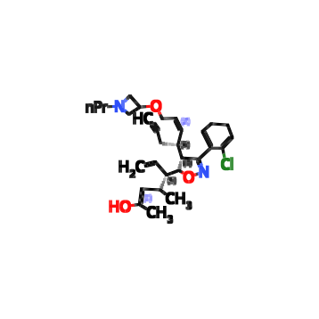 C#CC[C@H](/C=C\COC1CN(CCC)C1)[C@@H]1C(C2=CCCC=C2Cl)=NOC1[C@@H](C=C)C(C)/C=C(\C)O